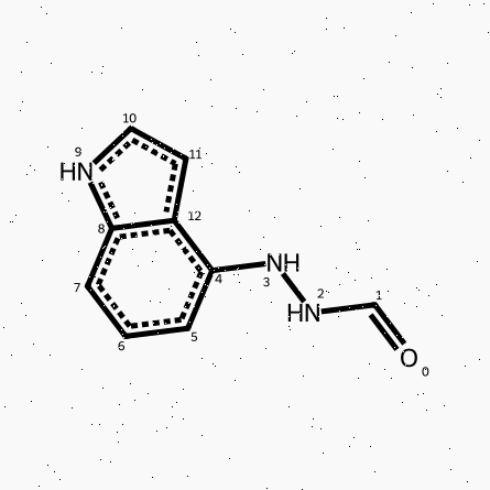 O=CNNc1cccc2[nH]ccc12